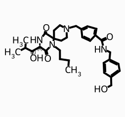 CCCCN1C(=O)[C@@H]([C@H](O)C(C)C)NC(=O)C12CCN(Cc1ccc(C(=O)NCc3ccc(CO)cc3)cc1)CC2